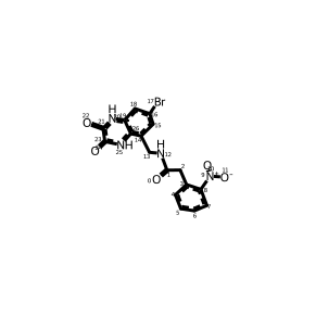 O=C(Cc1ccccc1[N+](=O)[O-])NCc1cc(Br)cc2[nH]c(=O)c(=O)[nH]c12